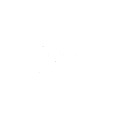 [C-]#[N+]c1c(C(F)(F)F)cc(-c2ccccc2Cl)n(Cc2ccccc2)c1=O